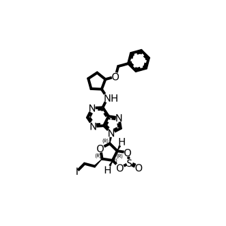 O=S1O[C@@H]2[C@H](O1)[C@@H](CCI)O[C@H]2n1cnc2c(NC3CCCC3OCc3ccccc3)ncnc21